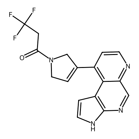 O=C(CC(F)(F)F)N1CC=C(c2ccnc3cnc4[nH]ccc4c23)C1